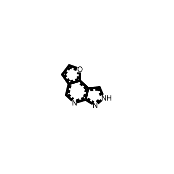 c1cc2cnc3n[nH]cc3c2o1